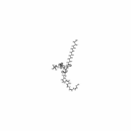 CC/C=C\C/C=C\C/C=C\C/C=C\C/C=C\CCCC(=O)O[C@H](COC(=O)CCCCCCCCCCCCCC)COP(=O)([O-])OCC[N+](C)(C)C